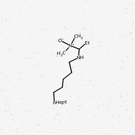 CCCCCCCCCCCCNC(CC)[N+](C)(C)[O-]